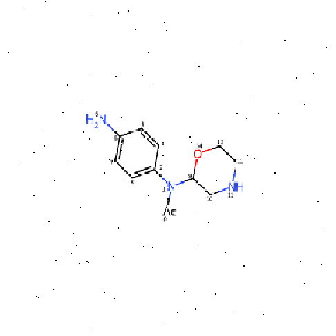 CC(=O)N(c1ccc(N)cc1)C1CNCCO1